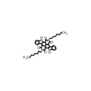 CCCCCCCCN1C(=O)c2c3[nH]c4ccccc4c3c3c4c(c5[nH]c6ccccc6c5c(c24)C1=O)C(=O)N(CCCCCCCC)C3=O